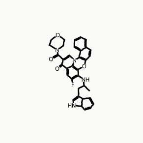 CC(CC1=CNC2C=CC=CC12)Nc1c(F)cc2c(=O)c(C(=O)N3CCOCC3)cn3c2c1Oc1ccc2ccccc2c1-3